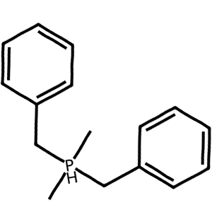 C[PH](C)(Cc1ccccc1)Cc1ccccc1